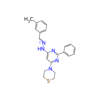 Cc1cccc(/C=N/Nc2cc(N3CCSCC3)nc(-c3ccccc3)n2)c1